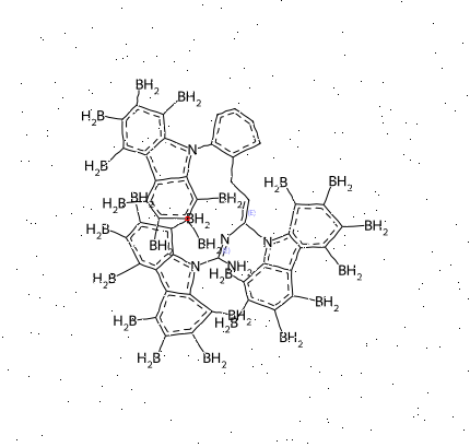 Bc1c(B)c(B)c2c(c1B)c1c(B)c(B)c(B)c(B)c1n2C(=C/Cc1ccccc1-n1c2c(B)c(B)c(B)c(B)c2c2c(B)c(B)c(B)c(B)c21)/N=C(\N)n1c2c(B)c(B)c(B)c(B)c2c2c(B)c(B)c(B)c(B)c21